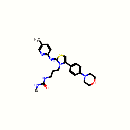 CCNC(=O)NCCCn1c(-c2ccc(N3CCOCC3)cc2)cs/c1=N\c1ccc(C)cn1